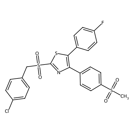 CS(=O)(=O)c1ccc(-c2nc(S(=O)(=O)Cc3ccc(Cl)cc3)sc2-c2ccc(F)cc2)cc1